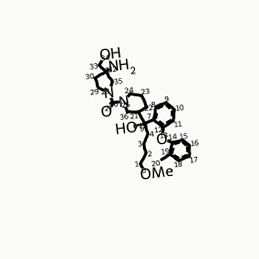 COCCCC[C@@](O)(c1ccccc1Oc1ccccc1C)C1CCCN(C(=O)N2CCC(N)(CO)C2)C1